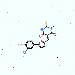 CN1C(=O)/C(=C/c2ccc(-c3ccc(Br)c(Cl)c3)o2)C(=O)NC1=S